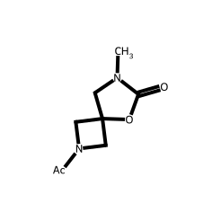 CC(=O)N1CC2(CN(C)C(=O)O2)C1